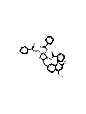 Cc1cc(=O)oc2cc(O[C@H]3O[C@H](COC(=O)c4ccccc4)[C@@H](OC(=O)c4ccccc4)[C@H]3OC(=O)c3ccccc3)ccc12